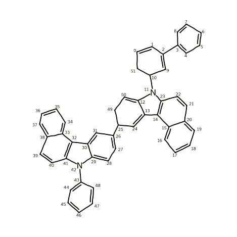 C1=CC(c2ccccc2)=CC(n2c3c(c4c5ccccc5ccc42)=CC(c2ccc4c(c2)c2c5ccccc5ccc2n4-c2ccccc2)CC=3)C1